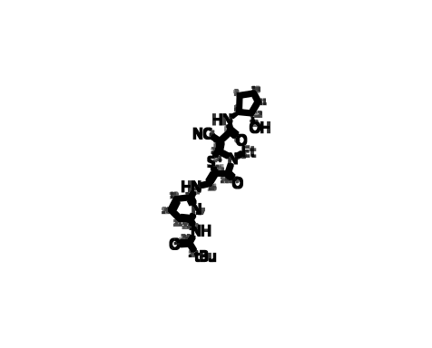 CCn1c(=C(C#N)C(=O)N[C@H]2CCC[C@@H]2O)sc(=CNc2cccc(NC(=O)C(C)(C)C)n2)c1=O